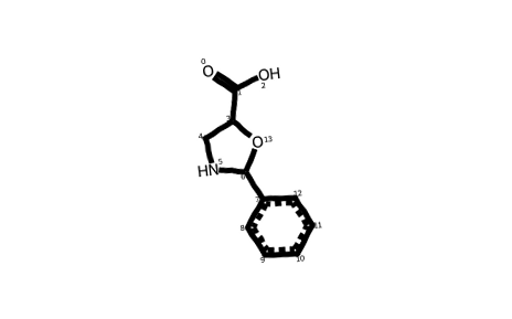 O=C(O)C1CNC(c2ccccc2)O1